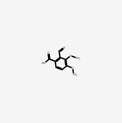 COc1ccc(C(=O)O)c(C=O)c1OC